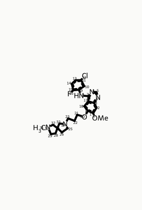 COc1cc2ncnc(Nc3cc(Cl)ccc3F)c2cc1OCCCN1CCC2(CCN(C)C2)C1